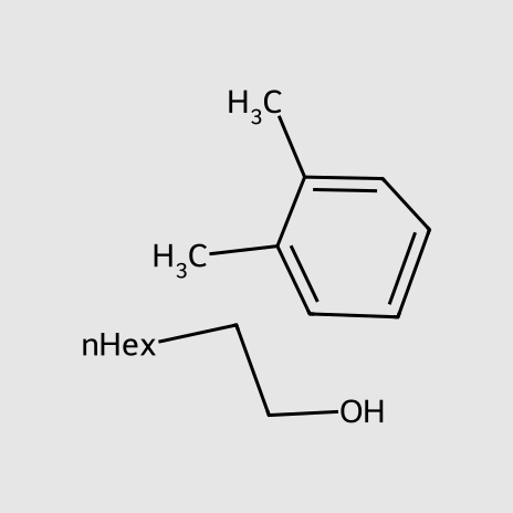 CCCCCCCCO.Cc1ccccc1C